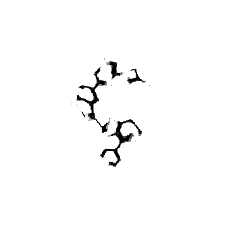 NC1CN(c2cncc(-c3cnc4[nH]nc(-c5nc6c(-c7ccncc7)nccc6[nH]5)c4c3)n2)C1